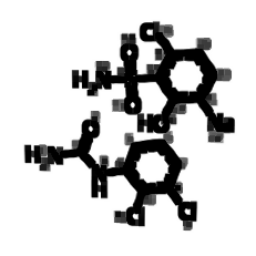 NC(=O)Nc1cccc(Cl)c1Cl.NS(=O)(=O)c1c(Cl)cc[c]([Na])c1O